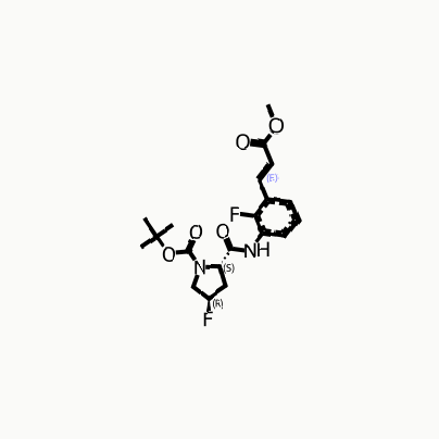 COC(=O)/C=C/c1cccc(NC(=O)[C@@H]2C[C@@H](F)CN2C(=O)OC(C)(C)C)c1F